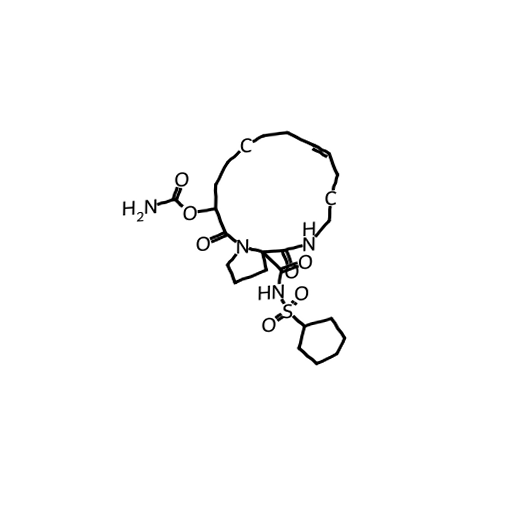 NC(=O)OC1CCCCCC=CCCCNC(=O)C2(C(=O)NS(=O)(=O)C3CCCCC3)CCCN2C1=O